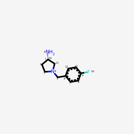 N[C@H]1CCN(Cc2ccc(F)cc2)C1